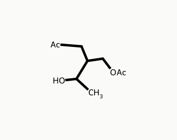 CC(=O)CC(COC(C)=O)C(C)O